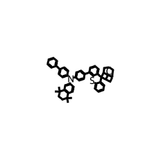 CC1(C)CCC(C)(C)c2cc(N(c3ccc(-c4ccccc4)cc3)c3ccc(-c4cccc5c4Sc4ccccc4C54C5CC6CC7CC4C75C6)cc3)ccc21